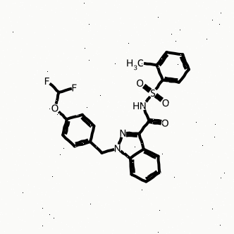 Cc1ccccc1S(=O)(=O)NC(=O)c1nn(Cc2ccc(OC(F)F)cc2)c2ccccc12